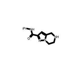 CC(C)NC(=O)c1cc2n(n1)CCNC2